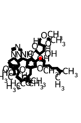 COC(=O)/C(C)=C\CC1(O)C(=O)C2CC(C(C)C)C13Oc1c(CC=C(C)C)c4c(c(O[C@H]5O[C@H]6COC(C)(C)O[C@@H]6[C@@H](O)[C@@H]5O)c1C1=C3C2n2cnc(n2)N1)C=CC(C)(CCC=C(C)C)O4